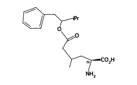 CC(CC(=O)OC(Cc1ccccc1)C(C)C)C[C@H](N)C(=O)O